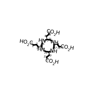 O=C(O)CCC[C@H]1CN[C@@H](CCC(=O)O)CN[C@@H](CCC(=O)O)CN[C@@H](CCC(=O)O)CN1